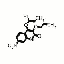 C=CCOc1c(OC(=CC)CC)c2ccc([N+](=O)[O-])cc2[nH]c1=O